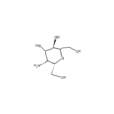 NC1C(O)[C@@H](O)C(CO)O[C@@H]1CO